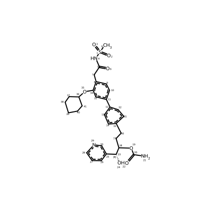 CS(=O)(=O)NC(=O)Cc1ccc(-c2ccc(CCC(OC(N)=O)[C@H](O)c3cccnc3)cc2)cc1OC1CCCCC1